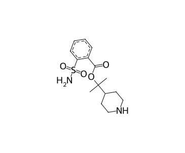 CC(C)(OC(=O)c1ccccc1S(N)(=O)=O)C1CCNCC1